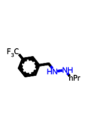 CCCNNCc1cccc(C(F)(F)F)c1